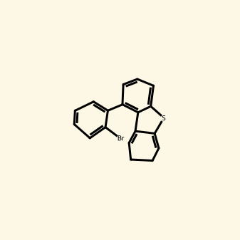 Brc1ccccc1-c1cccc2sc3c(c12)=CCCC=3